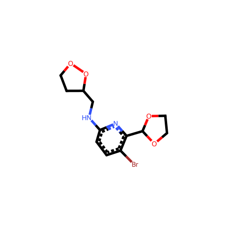 Brc1ccc(NCC2CCOO2)nc1C1OCCO1